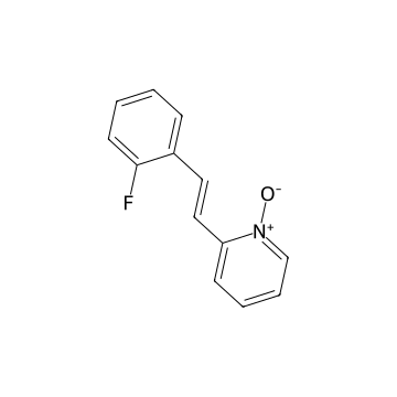 [O-][n+]1ccccc1C=Cc1ccccc1F